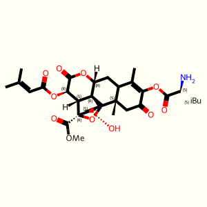 CC[C@H](C)[C@H](N)C(=O)OC1=C(C)C2C[C@H]3OC(=O)[C@H](OC(=O)C=C(C)C)[C@@H]4[C@]35CO[C@]4(C(=O)OC)C[C@H](O)C5[C@@]2(C)CC1=O